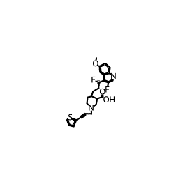 COc1ccc2ncc(F)c([C@H](F)CCC3CCN(CC#Cc4cccs4)CC3C(=O)O)c2c1